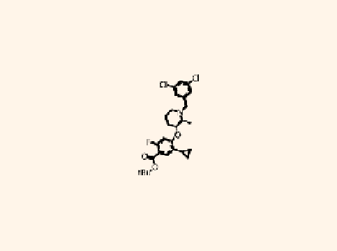 C[C@H]1[C@H](Oc2cc(F)c(C(=O)OC(C)(C)C)cc2C2CC2)CCCN1Cc1cc(Cl)cc(Cl)c1